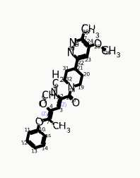 C=N/C(=C\C(OC)=C(/C)Oc1ccccc1)C(=O)N1CCC(c2cc(OC)c(C)nn2)CC1